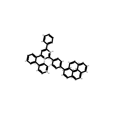 c1ccc(-c2cc(-c3ccccc3-c3ccncc3)nc(-c3ccc(-c4ccc5ccc6cccc7ccc4c5c67)cc3)n2)cc1